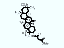 COC(=O)CC(=O)N[C@H]1CC[C@]2(C)[C@H]3C(=O)C=C4[C@@H]5C[C@@](C)(C(=O)O)CC[C@]5(C)CC[C@@]4(C)[C@]3(C)CC[C@H]2C1(C)C